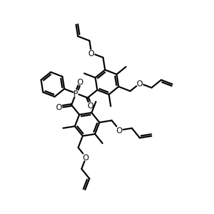 C=CCOCc1c(C)c(COCC=C)c(C)c(C(=O)P(=O)(C(=O)c2c(C)c(COCC=C)c(C)c(COCC=C)c2C)c2ccccc2)c1C